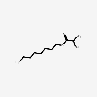 CCCCCCCCOC(=O)C(C)[NH]